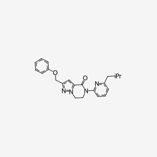 CC(C)Cc1cccc(N2CCn3nc(COc4ccccc4)cc3C2=O)n1